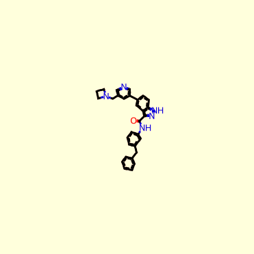 O=C(Nc1cccc(Cc2ccccc2)c1)c1n[nH]c2ccc(-c3cncc(CN4CCC4)c3)cc12